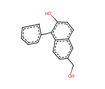 OCc1ccc2c(-c3ccccc3)c(O)ccc2c1